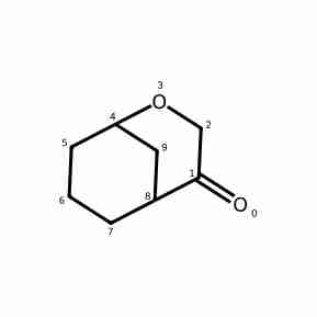 O=C1COC2CCCC1C2